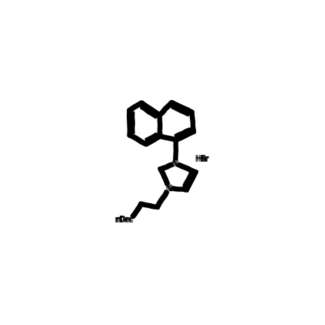 Br.CCCCCCCCCCCCN1C=CN(c2cccc3ccccc23)C1